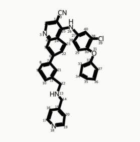 N#Cc1cnc2cc(-c3cccc(CNCc4ccncc4)c3)ccc2c1Nc1ccc(Oc2ccccc2)c(Cl)c1